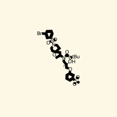 CC(C)(C)OC(=O)N(C[C@H](O)COc1cccc(S(C)(=O)=O)c1)C1COC2(CCN(S(=O)(=O)c3cccc(Br)c3)CC2)C1